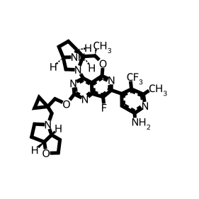 Cc1nc(N)cc(-c2nc3c4c(nc(OCC5(CN6CC[C@H]7OCC[C@H]76)CC5)nc4c2F)N2C[C@H]4CC[C@H](N4)[C@H]2[C@H](C)O3)c1C(F)(F)F